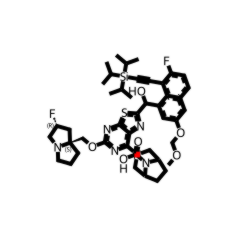 COCOc1cc(C(O)c2nc3c(N4CC5CCC(C4)N5C(=O)O)nc(OC[C@@]45CCCN4C[C@H](F)C5)nc3s2)c2c(C#C[Si](C(C)C)(C(C)C)C(C)C)c(F)ccc2c1